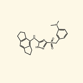 CN(C)c1cccc(CS(=O)(=O)c2n[nH]c(Nc3c4c(cc5c3CCC5)CCC4)n2)c1